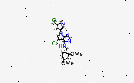 COc1ccc(CNc2ncnc3c2c(Cl)cn3-c2cncc(CCl)c2)c(OC)c1